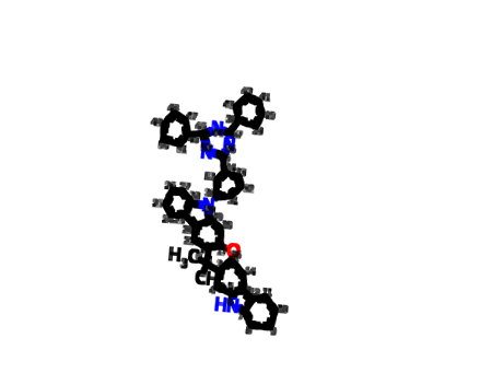 CC1(C)c2cc3[nH]c4ccccc4c3cc2Oc2cc3c(cc21)c1ccccc1n3-c1cccc(-c2nc(-c3ccccc3)nc(-c3ccccc3)n2)c1